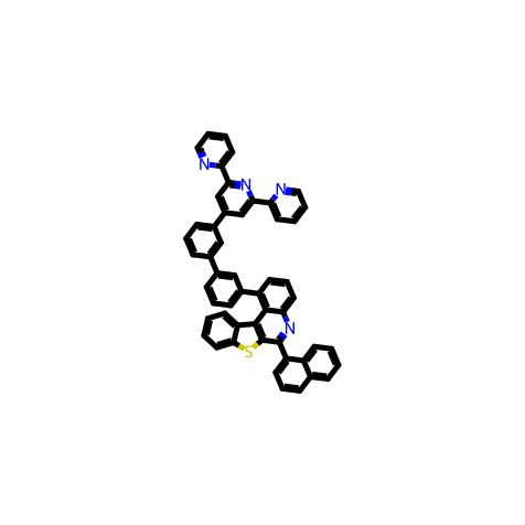 c1ccc(-c2cc(-c3cccc(-c4cccc(-c5cccc6nc(-c7cccc8ccccc78)c7sc8ccccc8c7c56)c4)c3)cc(-c3ccccn3)n2)nc1